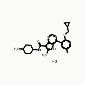 Cc1[nH]c2c(-c3cc(F)ccc3OCC3CC3)ncnc2c1C(=O)NC1CCC(N)CC1.Cl